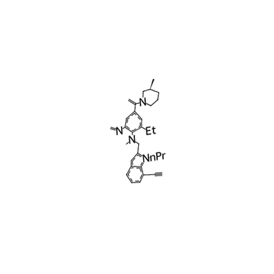 C#Cc1cccc2cc(CN(C)c3c(CC)cc(C(=C)N4CCC[C@H](C)C4)cc3N=C)n(CCC)c12